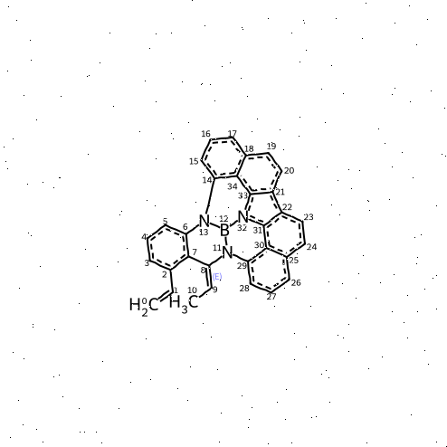 C=Cc1cccc2c1/C(=C\C)N1B3N2c2cccc4ccc5c6ccc7cccc1c7c6n3c5c24